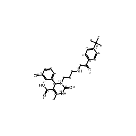 CC1=C(C(=O)O)C(c2cccc(Cl)c2)N(CCCNCC(=O)c2ccc(C(C)(C)C)cc2)C(=O)N1